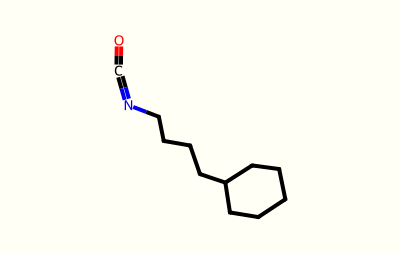 O=C=NCCCCC1CCCCC1